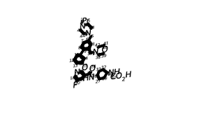 CC(C)N1CCN(Cc2ccc(-c3cccc(Oc4ncc(F)cc4C(=O)N[C@H]4CC[C@H](NC(=O)O)CC4)c3)c(CN3CCOCC3)c2)CC1